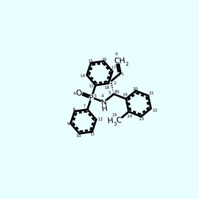 C=CC[C@@H](NP(=O)(c1ccccc1)c1ccccc1)c1ccccc1C